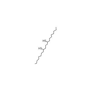 CCCCCCCCC(S)CCCC(S)CCCCCCCC